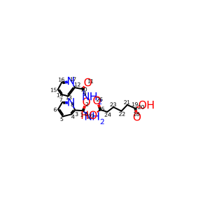 NC(=O)c1ccccn1.NC(=O)c1ccccn1.O=C(O)CCCCC(=O)O